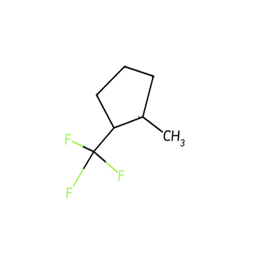 C[C]1CCCC1C(F)(F)F